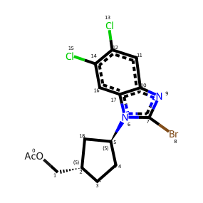 CC(=O)OC[C@H]1[CH][CH][C@H](n2c(Br)nc3cc(Cl)c(Cl)cc32)C1